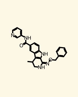 CC1CN/C(=N/OCc2ccccc2)c2[nH]c3ccc(C(=O)Nc4cccnc4)cc3c21